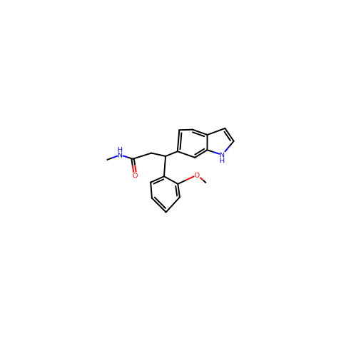 CNC(=O)CC(c1ccc2cc[nH]c2c1)c1ccccc1OC